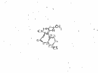 Cc1c[nH]c(-c2c(Cl)ccc3cc(Cl)ccc23)n1